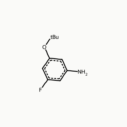 CC(C)(C)Oc1cc(N)cc(F)c1